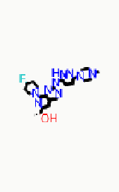 C[C@@H](O)c1cc2cnc(Nc3ccc(N4CCN(C)CC4)nn3)nc2c(N2CCC(F)CC2)n1